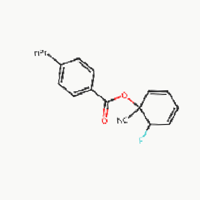 CCCc1ccc(C(=O)OC2(C#N)C=CC=CC2F)cc1